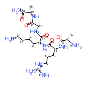 C[C@H](N)C(=O)N[C@@H](CCCNC(=N)N)C(=O)N[C@@H](CCCCN)C(=O)NCC(=O)N[C@@H](C)C(N)=O